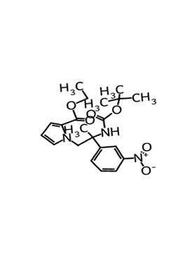 CCOC(=O)c1cccn1CC(C)(NC(=O)OC(C)(C)C)c1cccc([N+](=O)[O-])c1